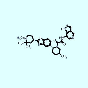 C[C@H]1CC[C@H](c2ccc3sc([C@H]4CCN(C)C(C)(C)C4)nc3c2)N(C(=O)C(=O)Nc2cncc3cn[nH]c23)C1